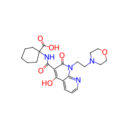 O=C(NC1(C(=O)O)CCCCC1)c1c(O)c2cccnc2n(CCN2CCOCC2)c1=O